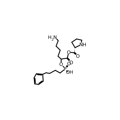 NCCCCC(OP(=O)(O)CCCCc1ccccc1)C(=O)OC(=O)[C@@H]1CCCN1